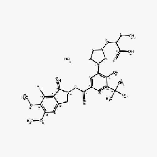 CCC(OC1CCN(c2cc(C(=O)CN3Cc4cc(OC)c(OC)c(F)c4C3=N)cc(C(C)(C)C)c2O)C1)C(=O)O.Cl